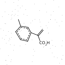 C=C(C(=O)O)c1cccc(C)c1